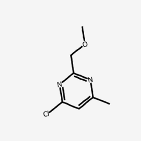 COCc1nc(C)cc(Cl)n1